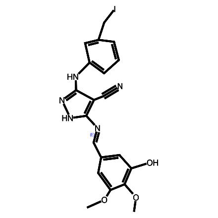 COc1cc(/C=N/c2[nH]nc(Nc3cccc(CI)c3)c2C#N)cc(O)c1OC